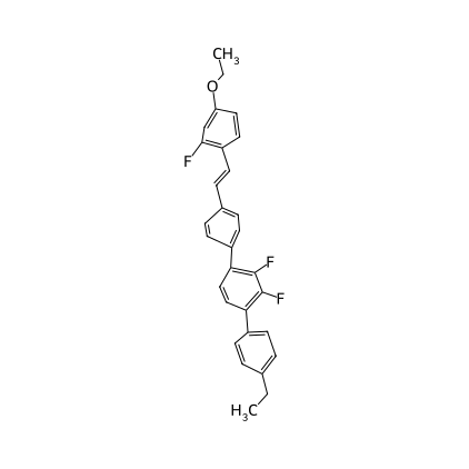 CCOc1ccc(/C=C/c2ccc(-c3ccc(-c4ccc(CC)cc4)c(F)c3F)cc2)c(F)c1